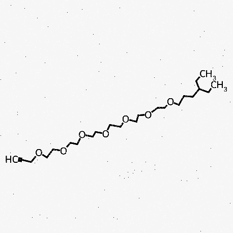 C#CCOCCOCCOCCOCCOCCOCCOCCCC(CC)CC